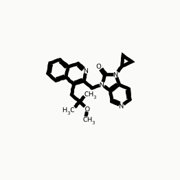 COC(C)(C)Cc1c(Cn2c(=O)n(C3CC3)c3ccncc32)ncc2ccccc12